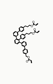 C=CC(=O)OCCCc1ccc(-c2cccc(-c3cccc(-c4cccc(-c5ccc(COC(=O)C=C)cc5)c4)c3-c3ccc(CCCOC(=O)C=C)cc3)c2)cc1